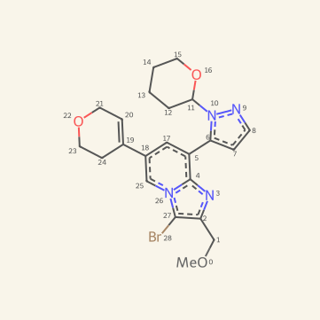 COCc1nc2c(-c3ccnn3C3CCCCO3)cc(C3=CCOCC3)cn2c1Br